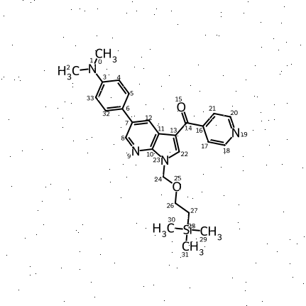 CN(C)c1ccc(-c2cnc3c(c2)c(C(=O)c2ccncc2)cn3COCC[Si](C)(C)C)cc1